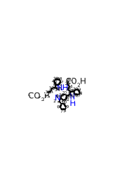 CN(C)C1(Cc2ccccc2)CC=C(c2[nH]c3ccccc3c2CCCC(=O)O)CC1.O=C(O)CCCc1c[nH]c2ccccc12